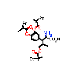 CCC(C)(C)C(=O)OCC(C)C(c1ccc(OC(=O)C(C)C(C)C)c(OC(=O)C(C)C(C)C)c1)[C@H](N)C(=O)O